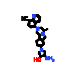 C[C@@H]1CN(c2ccc(C#N)c3ncccc23)CC2=C3CC=C(N4CC(N)C(O)C4)C=C3CN21